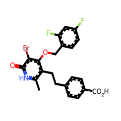 Cc1[nH]c(=O)c(Br)c(OCc2ccc(F)cc2F)c1CCc1ccc(C(=O)O)cc1